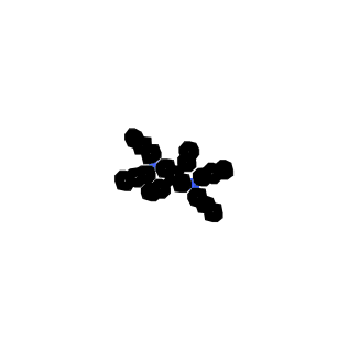 c1ccc2cc(-c3c4ccc(N(c5ccc6cc7ccccc7cc6c5)c5ccc6cc7ccccc7cc6c5)cc4c(-c4ccc5ccccc5c4)c4ccc(N(c5ccc6cc7ccccc7cc6c5)c5ccc6cc7ccccc7cc6c5)cc34)ccc2c1